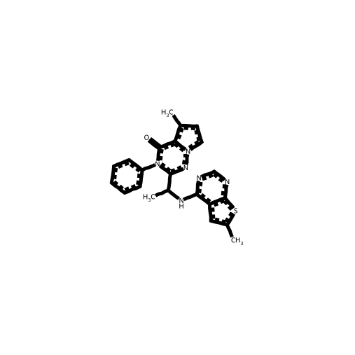 Cc1cc2c(NC(C)c3nn4ccc(C)c4c(=O)n3-c3ccccc3)ncnc2s1